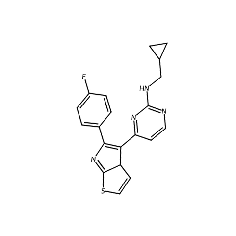 Fc1ccc(C2=C(c3ccnc(NCC4CC4)n3)C3C=CSC3=N2)cc1